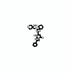 NC1(COC(=O)C2(OCc3cc(=O)n4nc(-c5ccccc5)nc4[nH]3)CCCCC2)CCOCC1